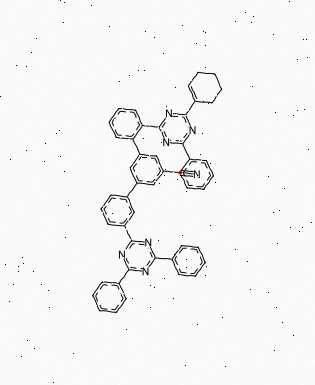 N#Cc1cc(-c2cccc(-c3nc(-c4ccccc4)nc(-c4ccccc4)n3)c2)cc(-c2ccccc2-c2nc(C3=CCCCC3)nc(-c3ccccc3)n2)c1